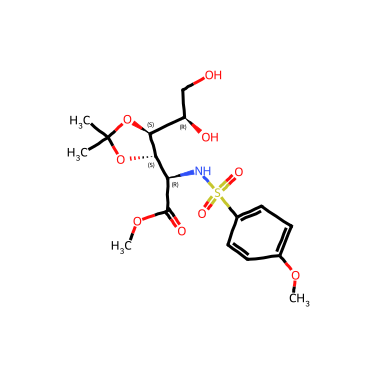 COC(=O)[C@H](NS(=O)(=O)c1ccc(OC)cc1)[C@@H]1OC(C)(C)O[C@H]1[C@H](O)CO